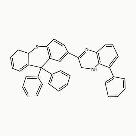 C1=CCC2Sc3ccc(C4=Nc5cccc(-c6ccccc6)c5NC4)cc3C(c3ccccc3)(c3ccccc3)C2=C1